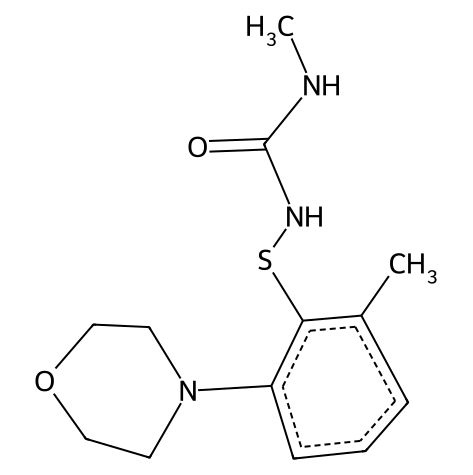 CNC(=O)NSc1c(C)cccc1N1CCOCC1